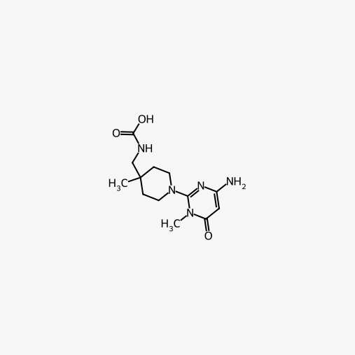 Cn1c(N2CCC(C)(CNC(=O)O)CC2)nc(N)cc1=O